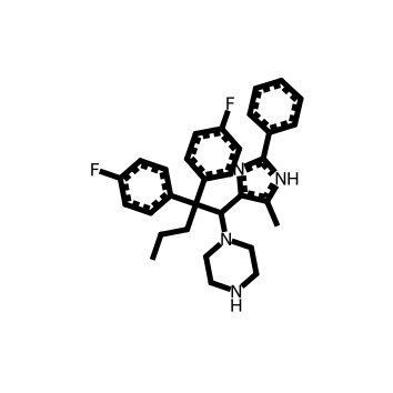 CCCC(c1ccc(F)cc1)(c1ccc(F)cc1)C(c1nc(-c2ccccc2)[nH]c1C)N1CCNCC1